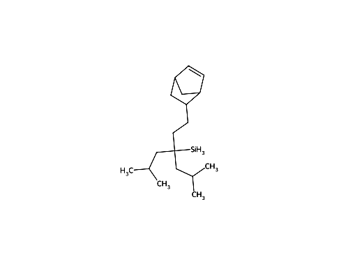 CC(C)CC([SiH3])(CCC1CC2C=CC1C2)CC(C)C